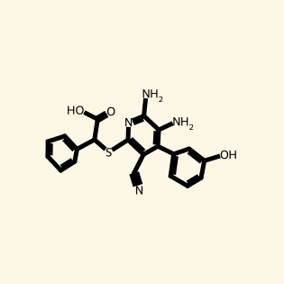 N#Cc1c(SC(C(=O)O)c2ccccc2)nc(N)c(N)c1-c1cccc(O)c1